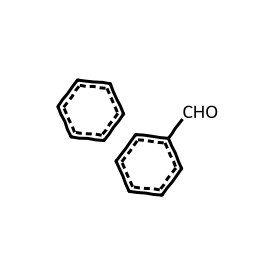 O=Cc1ccccc1.c1ccccc1